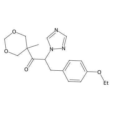 CCOc1ccc(CC(C(=O)C2(C)COCOC2)n2cncn2)cc1